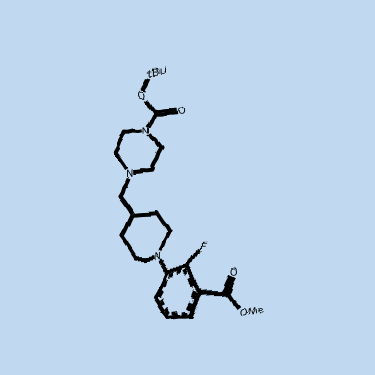 COC(=O)c1cccc(N2CCC(CN3CCN(C(=O)OC(C)(C)C)CC3)CC2)c1F